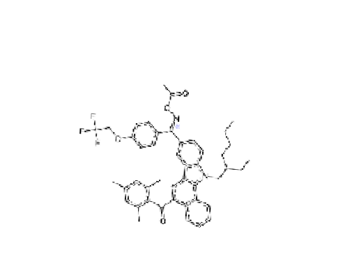 CCCCC(CC)Cn1c2ccc(/C(=N/OC(C)=O)c3ccc(OCC(F)(F)F)cc3)cc2c2cc(C(=O)c3c(C)cc(C)cc3C)c3ccccc3c21